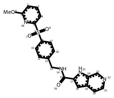 COc1cccc(S(=O)(=O)c2ccc(CNC(=O)c3cc4ccncc4[nH]3)cc2)n1